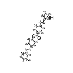 Cc1ccnc(CCc2ccc(OC(=O)N3CCC(CSc4ncc[nH]4)CC3)cc2)c1